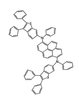 c1ccc(-c2sc3cc(N(c4ccccc4)c4ccc5ccc6c(N(c7ccccc7)c7ccc8c(-c9ccccc9)c(-c9ccccc9)sc8c7)ccc7ccc4c5c76)ccc3c2-c2ccccc2)cc1